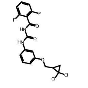 O=C(NC(=O)c1c(F)cccc1F)Nc1cccc(OCC2CC2(Cl)Cl)c1